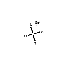 [O-][Ti]([O-])([O-])[O-].[Sn+4]